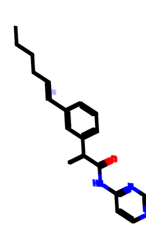 CCCC/C=C/c1cccc(C(C)C(=O)Nc2ccncn2)c1